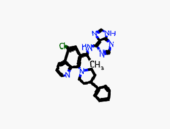 CC(Nc1ncnc2[nH]cnc12)c1cc(Cl)c2cccnc2c1N1CCC(c2ccccc2)CC1